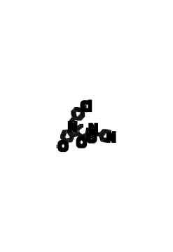 COc1ccc2c(c1)c(C(=O)c1cnc(-c3ccncc3)o1)c(C)n2Cc1ccc(Cl)cc1